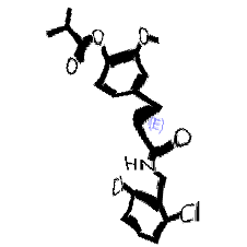 COc1cc(/C=C/C(=O)NCc2c(Cl)cccc2Cl)ccc1OC(=O)C(C)C